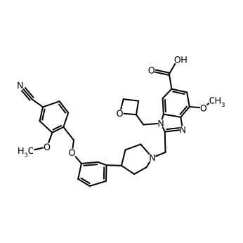 COc1cc(C#N)ccc1COc1cccc(C2CCN(Cc3nc4c(OC)cc(C(=O)O)cc4n3CC3CCO3)CC2)c1